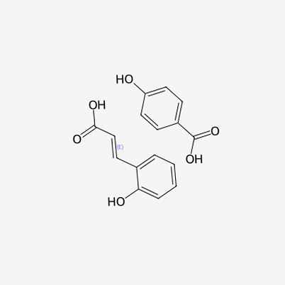 O=C(O)/C=C/c1ccccc1O.O=C(O)c1ccc(O)cc1